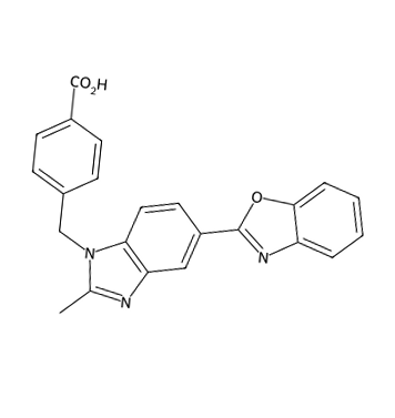 Cc1nc2cc(-c3nc4ccccc4o3)ccc2n1Cc1ccc(C(=O)O)cc1